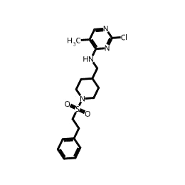 Cc1cnc(Cl)nc1NCC1CCN(S(=O)(=O)CCc2ccccc2)CC1